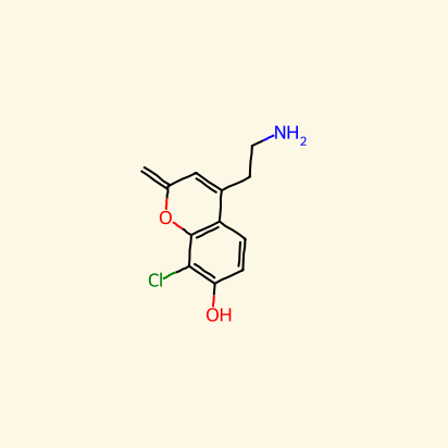 C=C1C=C(CCN)c2ccc(O)c(Cl)c2O1